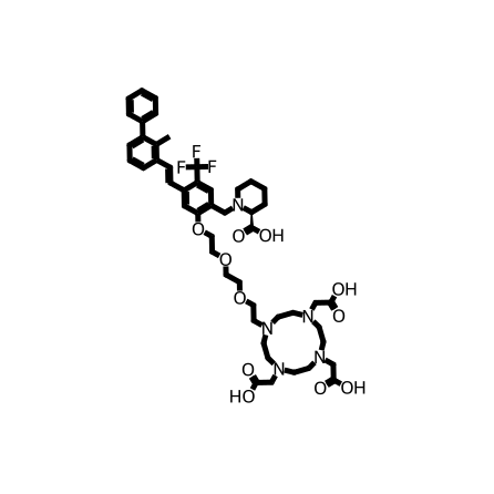 Cc1c(/C=C/c2cc(OCCOCCOCCN3CCN(CC(=O)O)CCN(CC(=O)O)CCN(CC(=O)O)CC3)c(CN3CCCC[C@H]3C(=O)O)cc2C(F)(F)F)cccc1-c1ccccc1